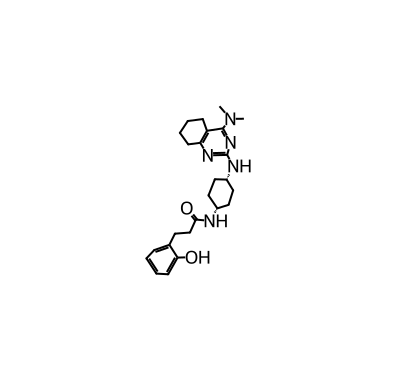 CN(C)c1nc(N[C@H]2CC[C@@H](NC(=O)CCc3ccccc3O)CC2)nc2c1CCCC2